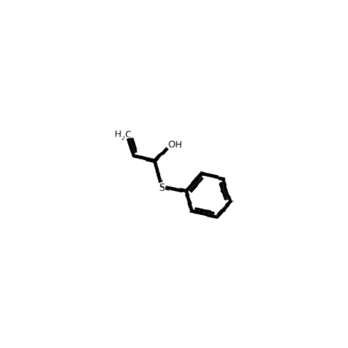 C=CC(O)Sc1cc[c]cc1